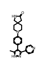 Cc1[nH]nc(-c2ccncc2)c1-c1ccc(N2CCC3(CC2)CNC(=O)C3)cc1